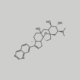 CN(C)[C@H]1C[C@@]23CC[C@]4(O2)C2CC=C(c5ccc6cncnc6c5)[C@@]2(C)CCC4(O)CC3[C@@H](O)[C@@H]1O